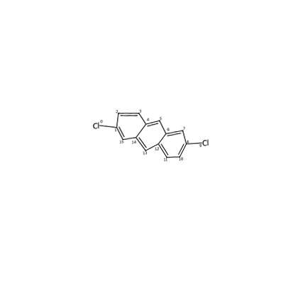 Clc1ccc2cc3cc(Cl)ccc3cc2c1